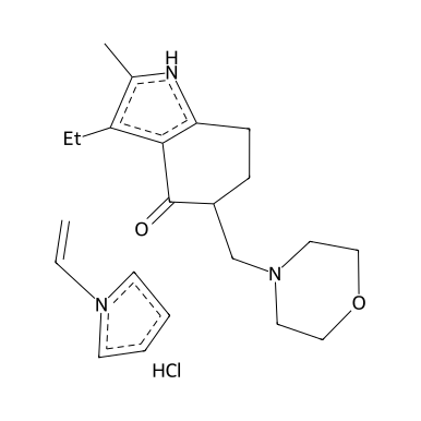 C=Cn1cccc1.CCc1c(C)[nH]c2c1C(=O)C(CN1CCOCC1)CC2.Cl